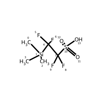 C[Si](C)(C)C(F)(F)C(F)(F)S(=O)(=O)O